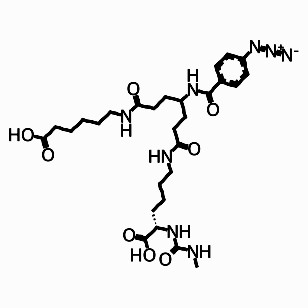 CNC(=O)N[C@@H](CCCCNC(=O)CCC(CCC(=O)NCCCCCC(=O)O)NC(=O)c1ccc(N=[N+]=[N-])cc1)C(=O)O